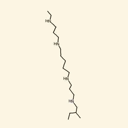 CCNCCCNCCCCCNCCCNCC(C)CC